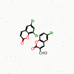 O=Cc1cc2cc(Br)ccc2oc1=O.O=c1ccc2cc(Br)cc(Br)c2o1